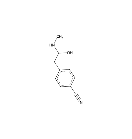 CNC(O)Cc1ccc(C#N)cc1